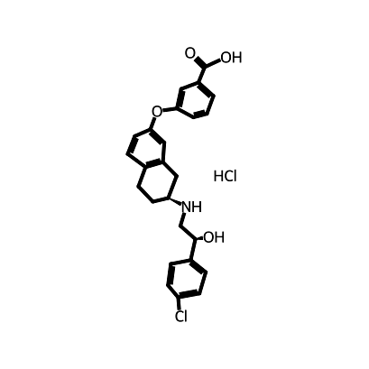 Cl.O=C(O)c1cccc(Oc2ccc3c(c2)C[C@@H](NC[C@@H](O)c2ccc(Cl)cc2)CC3)c1